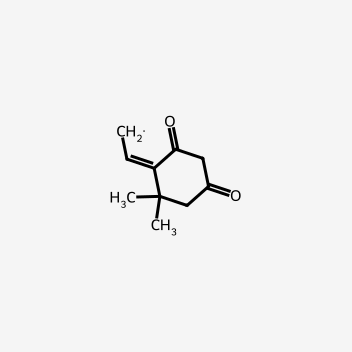 [CH2]C=C1C(=O)CC(=O)CC1(C)C